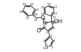 O=C1C(c2ccsc2)=CC(O)(c2ccccc2)N1OCc1ccccc1